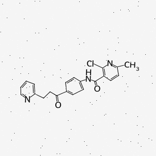 Cc1ccc(C(=O)Nc2ccc(C(=O)CCc3ccccn3)cc2)c(Cl)n1